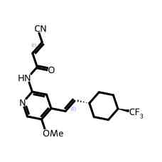 COc1cnc(NC(=O)/C=C/C#N)cc1/C=C/[C@H]1CC[C@H](C(F)(F)F)CC1